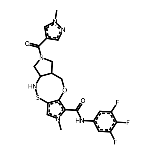 Cn1cc(C(=O)N2CC3COc4c(cn(C)c4C(=O)Nc4cc(F)c(F)c(F)c4)SNC3C2)cn1